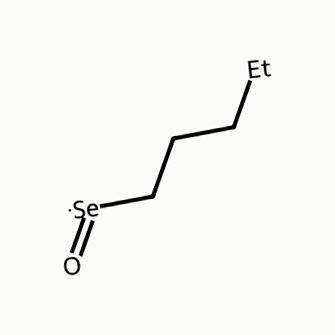 CCCCC[Se]=O